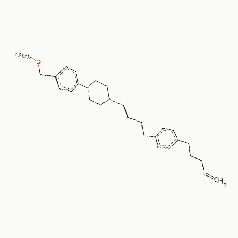 C=CCCCc1ccc(CCCCC2CCC(c3ccc(COCCCCC)cc3)CC2)cc1